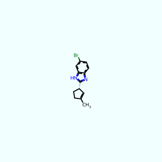 CC1=C[C@@H](c2nc3ccc(Br)cc3[nH]2)CC1